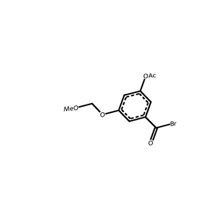 COCOc1cc(OC(C)=O)cc(C(=O)Br)c1